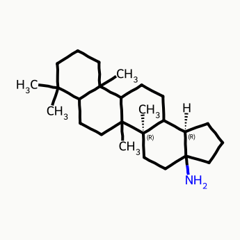 CC1(C)CCCC2(C)C1CCC1(C)C2CCC2[C@H]3CCCC3(N)CC[C@]21C